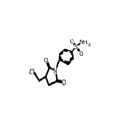 NS(=O)(=O)c1ccc(N2C(=O)CC(CCl)C2=O)cc1